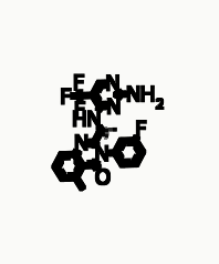 Cc1cccc2nc([C@@H](C)Nc3nc(N)ncc3C(F)(F)F)n(-c3cccc(F)c3)c(=O)c12